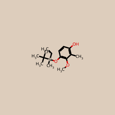 CC[Si](C)(Oc1ccc(O)c(C)c1OC)C(C)(C)C